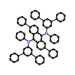 c1ccc(-c2cc(-c3ccccc3)cc(N(c3ccccc3)c3c4ccc(-c5ccccc5)cc4c(N(c4ccccc4)c4cc(-c5ccccc5)cc(-c5ccccc5)c4)c4ccc(-c5ccccc5)cc34)c2)cc1